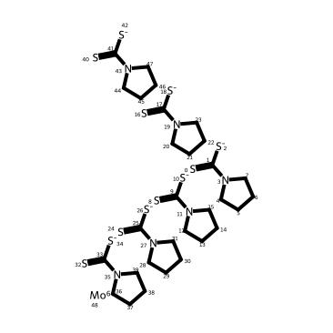 S=C([S-])N1CCCC1.S=C([S-])N1CCCC1.S=C([S-])N1CCCC1.S=C([S-])N1CCCC1.S=C([S-])N1CCCC1.S=C([S-])N1CCCC1.[Mo+6]